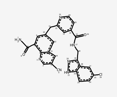 N#Cc1cnc2c(C(N)=O)cc(Cc3cc(C(=O)NCc4n[nH]c5ccc(Cl)cc45)ccn3)cc2c1